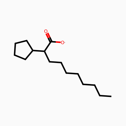 CCCCCCCCC(C([O])=O)C1CCCC1